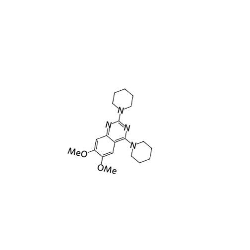 COc1cc2nc(N3CCCCC3)nc(N3CCCCC3)c2cc1OC